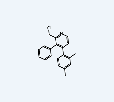 Cc1ccc(-c2ccnc(CCl)c2-c2ccccc2)c(C)c1